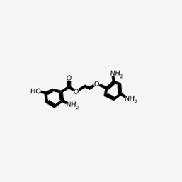 Nc1ccc(OCCOC(=O)c2cc(O)ccc2N)c(N)c1